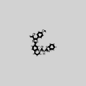 COc1ccc(-c2sc(-c3ccc4c(c3)N(C(=O)Nc3nc5ccccc5s3)CCC4)nc2C(C)=O)cc1